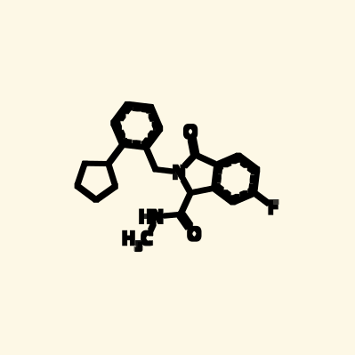 CNC(=O)C1c2cc(F)ccc2C(=O)N1Cc1ccccc1C1CCCC1